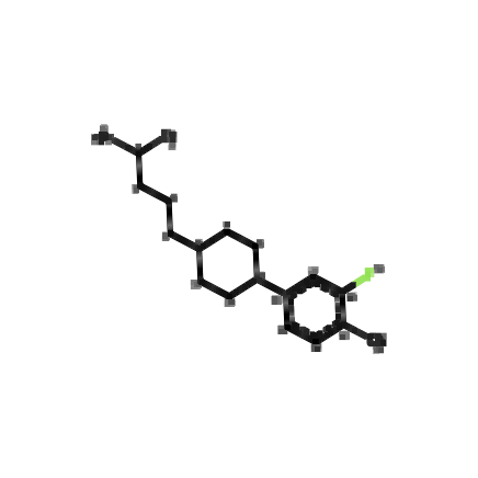 CCCC(CC)CCCC1CCC(c2ccc(C#N)c(F)c2)CC1